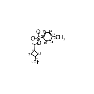 CCC1CC(COS(=O)(=O)c2ccc(C)cc2)C1